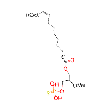 CCCCCCCC/C=C\CCCCCCCC(=O)OC[C@H](COP(O)(O)=S)OC